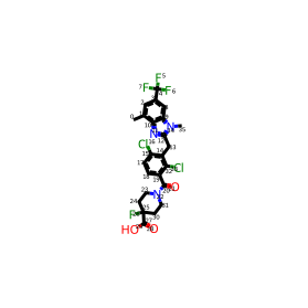 Cc1cc(C(F)(F)F)cc2c1nc(Cc1c(Cl)ccc(C(=O)N3CCC(F)(C(=O)O)CC3)c1Cl)n2C